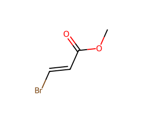 COC(=O)C=CBr